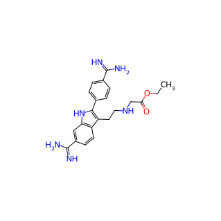 CCOC(=O)CNCCc1c(-c2ccc(C(=N)N)cc2)[nH]c2cc(C(=N)N)ccc12